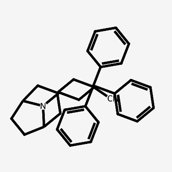 N#CC(CC1CC2CCC(C1)N2CCCc1ccccc1)(c1ccccc1)c1ccccc1